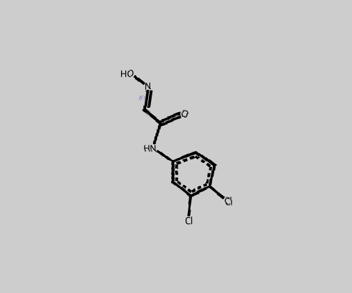 O=C(/C=N/O)Nc1ccc(Cl)c(Cl)c1